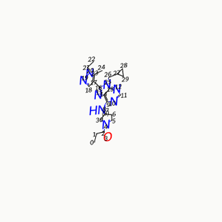 CCC(=O)N1CC[C@H](Nc2ncnc3c2nc(-c2cnn(CC)c2C)n3CC2CC2)C1